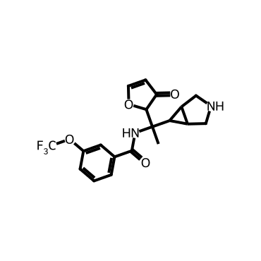 CC(NC(=O)c1cccc(OC(F)(F)F)c1)(C1OC=CC1=O)C1C2CNCC21